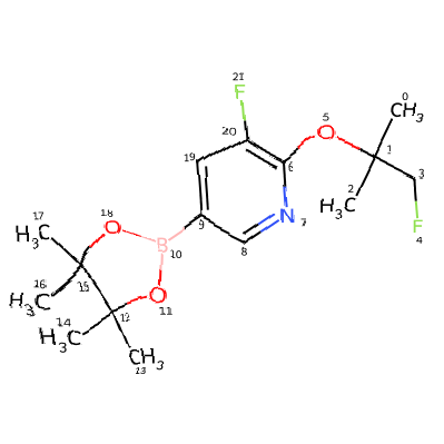 CC(C)(CF)Oc1ncc(B2OC(C)(C)C(C)(C)O2)cc1F